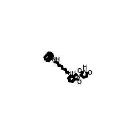 O=C1CCC(N2Cc3c(NCCCCCCCNC45CC6CC(CC(C6)C4)C5)cccc3C2=O)C(=O)N1